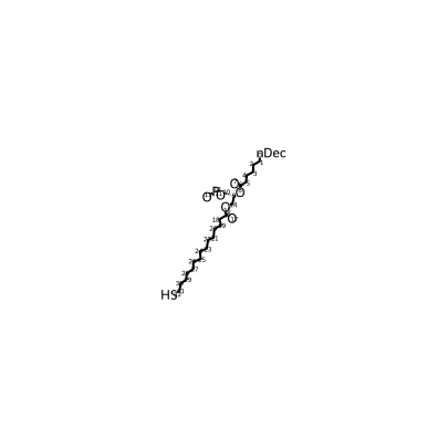 CCCCCCCCCCCCCCCC(=O)O[C@@H](COP=O)COC(=O)CCCCCCCCCCCCCCS